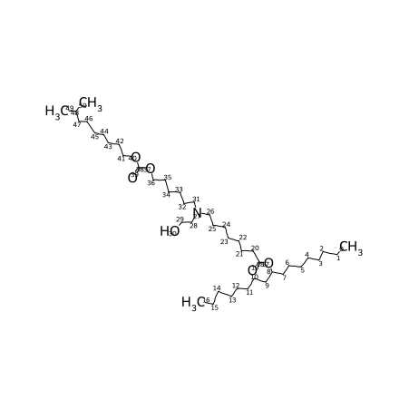 CCCCCCCCC(CCCCCCCC)OC(=O)CCCCCCCN(CCO)CCCCCCOC(=O)OCCCCCCCC(C)C